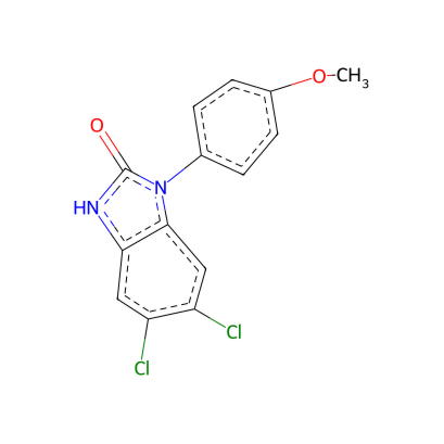 COc1ccc(-n2c(=O)[nH]c3cc(Cl)c(Cl)cc32)cc1